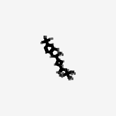 CC(Oc1ccc(C(F)(F)F)cc1Cl)C1CN(C(=O)OC(C)(C)C)C1